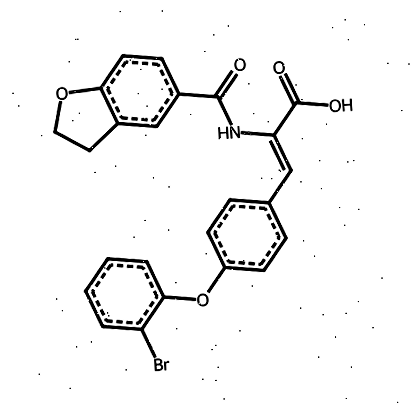 O=C(O)/C(=C/c1ccc(Oc2ccccc2Br)cc1)NC(=O)c1ccc2c(c1)CCO2